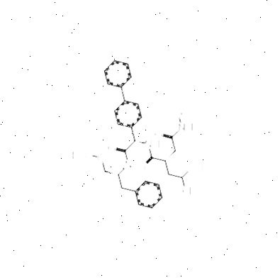 COC[C@H](Cc1ccccc1)NC(=O)[C@H](NC(=O)[C@@H](CC(=O)NO)CC(C)C)c1ccc(-c2ccccc2)cc1